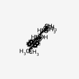 CC(C)CCOc1ccc2ccccc2c1-c1c(OCC(=O)N[C@H](CCCCNC(=O)OC(C)(C)C)C(=O)O)ccc2ccccc12